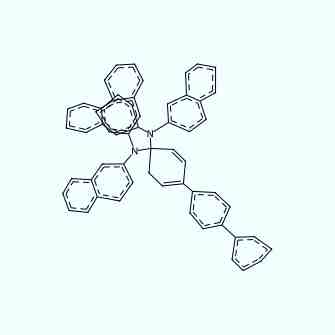 C1=CC(N(c2ccc3ccccc3c2)c2ccc3ccccc3c2)(N(c2ccc3ccccc3c2)c2ccc3ccccc3c2)CC=C1c1ccc(-c2ccccc2)cc1